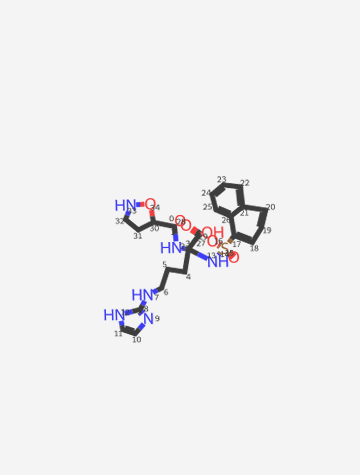 O=C(NC(CCCNc1ncc[nH]1)(NS(=O)(=O)c1cccc2ccccc12)C(=O)O)C1CCNO1